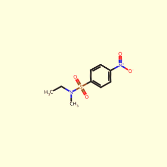 CCN(C)S(=O)(=O)c1ccc([N+](=O)[O-])cc1